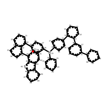 c1ccc(-c2cccc(-c3ccccc3-c3ccc(N(c4ccccc4)c4ccc(-c5cccc6cccc(-c7cccc8c7sc7ccccc78)c56)cc4)cc3)c2)cc1